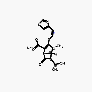 C[C@@H](O)[C@H]1C(=O)N2C(C(=O)[O-])=C(S/C=C\c3cscn3)[C@H](C)[C@H]12.[Na+]